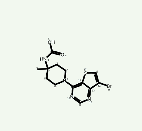 CC1(NC(=O)O)CCN(c2ncnc3c(Br)csc23)CC1